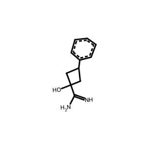 N=C(N)C1(O)CC(c2ccccc2)C1